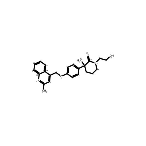 Cc1cc(COc2ccc(C3(C)CCCN(CCO)C3=O)cc2)c2ccccc2n1